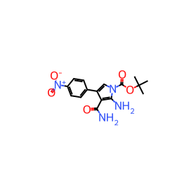 CC(C)(C)OC(=O)n1cc(-c2ccc([N+](=O)[O-])cc2)c(C(N)=O)c1N